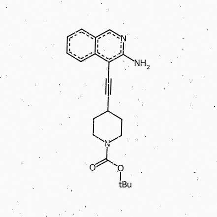 CC(C)(C)OC(=O)N1CCC(C#Cc2c(N)ncc3ccccc23)CC1